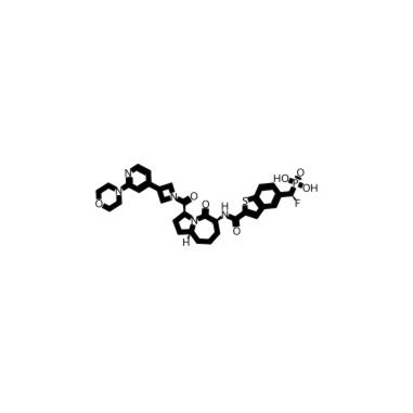 O=C(N[C@H]1CCC[C@H]2CC[C@@H](C(=O)N3CC(c4ccnc(N5CCOCC5)c4)C3)N2C1=O)c1cc2cc([C@@H](F)P(=O)(O)O)ccc2s1